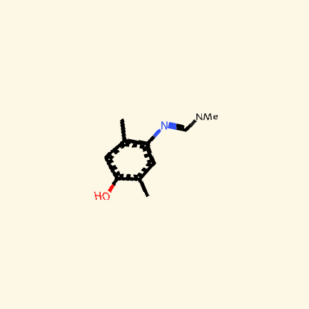 CN/C=N/c1cc(C)c(O)cc1C